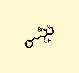 OC(CCCc1ccccc1)c1cccnc1Br